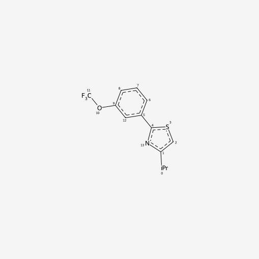 CC(C)c1csc(-c2cccc(OC(F)(F)F)c2)n1